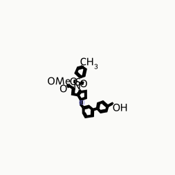 COC(=O)c1cc2c(n1S(=O)(=O)c1ccc(C)cc1)CC/C2=C\c1cccc(-c2ccc(CO)cc2)c1